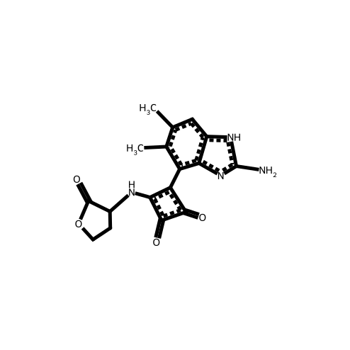 Cc1cc2[nH]c(N)nc2c(-c2c(NC3CCOC3=O)c(=O)c2=O)c1C